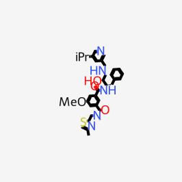 COc1cc(C(=O)N[C@@H](Cc2ccccc2)[C@H](O)CNCc2cncc(C(C)C)c2)cc(C(=O)N(C)Cc2nc(C)cs2)c1